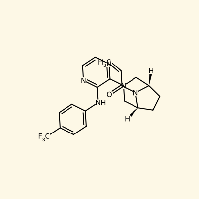 C=CC(=O)N1[C@@H]2CC[C@H]1CN(c1nccnc1Nc1ccc(C(F)(F)F)cc1)C2